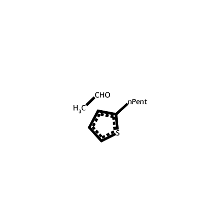 CC=O.CCCCCc1cccs1